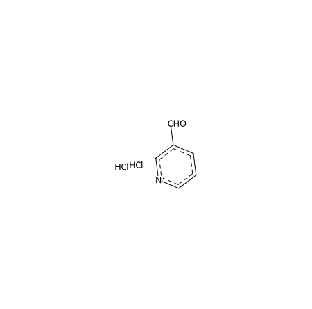 Cl.Cl.O=Cc1cccnc1